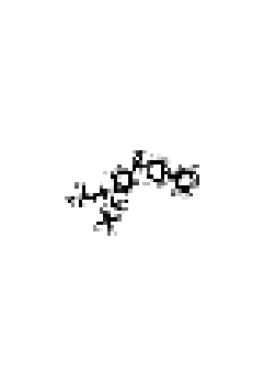 COC(=O)CCN(C(=O)OC(C)(C)C)N1CCC(C(=O)N2CCN(c3ccncc3)CC2)CC1